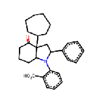 O=C(O)c1ccccc1N1C(c2ccccc2)CC2(C3CCCCCC3)C(=O)CCCC12